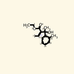 CCOC(=O)/C(=C\I)C(C)(O)c1ccccc1C